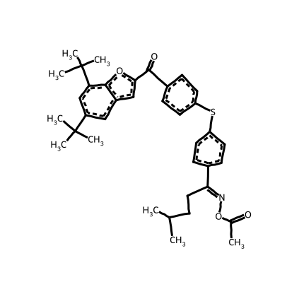 CC(=O)ON=C(CCC(C)C)c1ccc(Sc2ccc(C(=O)c3cc4cc(C(C)(C)C)cc(C(C)(C)C)c4o3)cc2)cc1